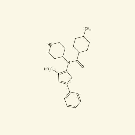 CC1CCC(C(=O)N(c2sc(-c3ccccc3)cc2C(=O)O)C2CCNCC2)CC1